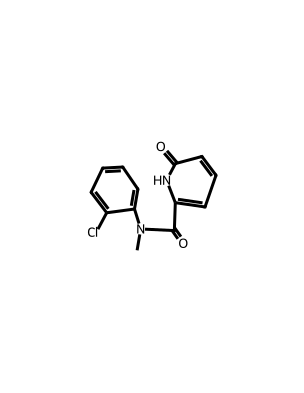 CN(C(=O)c1cccc(=O)[nH]1)c1ccccc1Cl